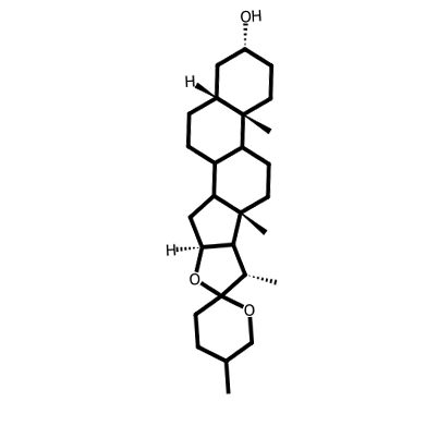 CC1CCC2(OC1)O[C@H]1CC3C4CC[C@@H]5C[C@H](O)CC[C@]5(C)C4CC[C@]3(C)C1[C@@H]2C